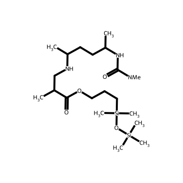 CNC(=O)NC(C)CCC(C)NCC(C)C(=O)OCCC[Si](C)(C)O[Si](C)(C)C